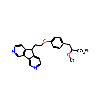 CCOC(=O)C(Cc1ccc(OCCC2c3ccncc3-c3cnccc32)cc1)OCC